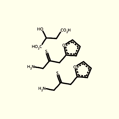 NCC(=S)Cc1ccco1.NCC(=S)Cc1ccco1.O=C(O)CC(O)C(=O)O